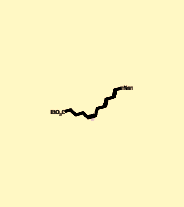 CCCCCCCCCC=CC=CC/C=C\CCCC(=O)OCC